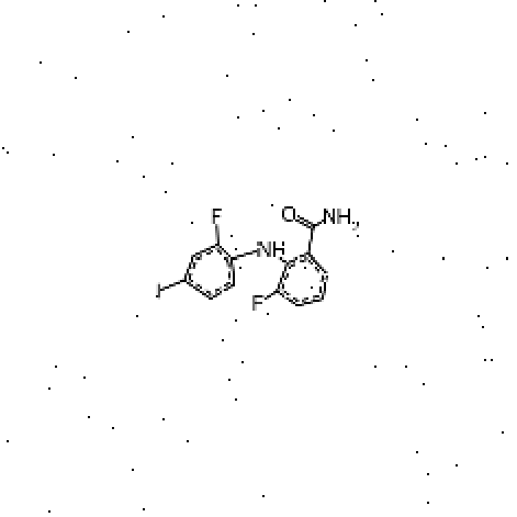 NC(=O)c1cccc(F)c1Nc1ccc(I)cc1F